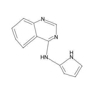 c1c[nH]c(Nc2ncnc3ccccc23)c1